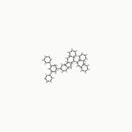 c1ccc(-c2nc(-c3ccccc3)nc(-c3ccc4oc5c(-c6cc7ccccc7c7ccccc67)c6ccccc6cc5c4c3)n2)cc1